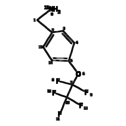 [15NH2]Cc1ccc(OC(F)(F)C(F)(F)F)cc1